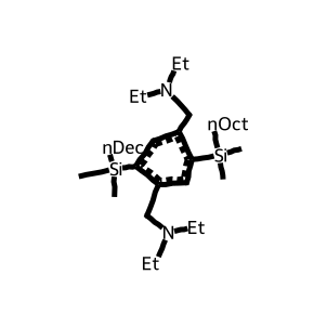 CCCCCCCCCC[Si](C)(C)c1cc(CN(CC)CC)c([Si](C)(C)CCCCCCCC)cc1CN(CC)CC